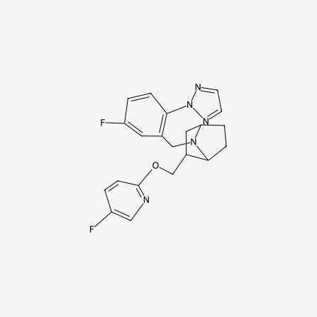 Fc1ccc(OCC2CC3CCC2N3Cc2cc(F)ccc2-n2nccn2)nc1